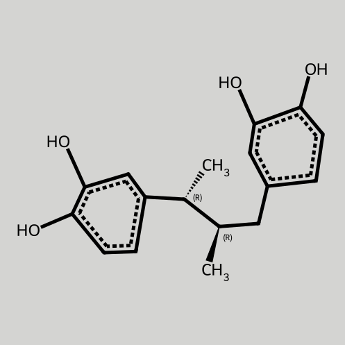 C[C@H](Cc1ccc(O)c(O)c1)[C@@H](C)c1ccc(O)c(O)c1